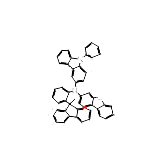 CC1(c2ccccc2N(c2ccc3c(c2)oc2ccccc23)c2ccc3c(c2)c2ccccc2n3-c2ccccc2)c2ccccc2-c2ccccc21